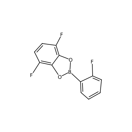 Fc1ccccc1B1Oc2c(F)ccc(F)c2O1